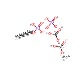 O=P([O-])([O-])[O-].O=P([O-])([O-])[O-].O=[Si]([O-])[O-].O=[Si]([O-])[O-].[Mg+2].[Mg+2].[Mg+2].[Mg+2].[Mg+2]